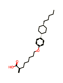 C=C(CCCCCCOc1ccc([C@H]2CC[C@H](CCCCC)CC2)cc1)C(=O)O